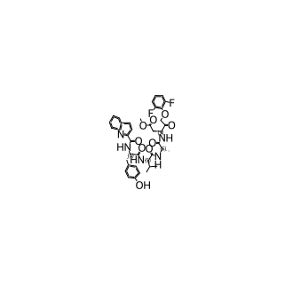 COC(=O)C[C@H](NC(=O)[C@H](C)NC(=O)[C@@H](NC(=O)[C@H](Cc1ccc(O)cc1)NC(=O)c1ccc2ccccc2n1)C(C)C)C(=O)COc1c(F)cccc1F